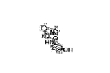 O=C(N[C@H]1C2CC3CC1C[C@](O)(C3)C2)c1cnn(C2CCCC2)c1-n1cccn1